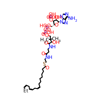 CC/C=C\C/C=C\C/C=C\CCCCCCCC(=O)SCCNC(=O)CCNC(=O)[C@H](O)C(C)(C)COP(=O)(O)OP(=O)(O)OC[C@H]1O[C@@H](n2cnc3c(N)ncnc32)[C@H](O)[C@@H]1OP(=O)(O)O